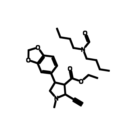 C#CC1C(C(=O)OCC)C(c2ccc3c(c2)OCO3)CN1C.CCCCN(C=O)CCCC